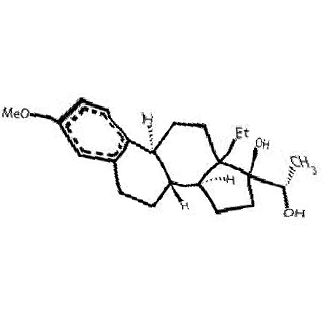 CCC12CC[C@@H]3c4ccc(OC)cc4CC[C@H]3[C@@H]1CC[C@@]2(O)[C@H](C)O